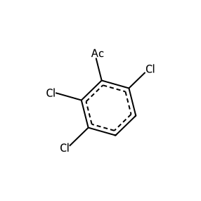 CC(=O)c1c(Cl)ccc(Cl)c1Cl